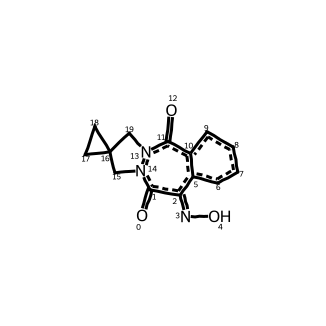 O=c1/c(=N/O)c2ccccc2c(=O)n2n1CC1(CC1)C2